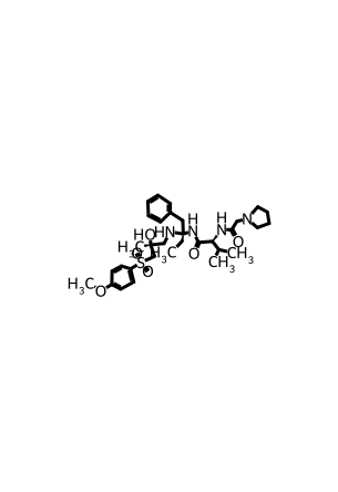 CC[C@](Cc1ccccc1)(NC[C@@](C)(O)CS(=O)(=O)c1ccc(OC)cc1)NC(=O)[C@@H](NC(=O)CN1CCCC1)C(C)C